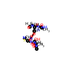 CCN(c1cc(-c2ccc(OCCOCCOc3cc(-c4scnc4C)ccc3CNC(=O)[C@@H]3C[C@@H](O)CN3C(=O)C(C(C)C)N3Cc4ccccc4C3=O)cc2)cc(C(=O)NCc2c(C)cc(C)[nH]c2=O)c1C)C1CCOCC1